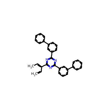 C=C/C(=C\C)c1nc(-c2cccc(-c3ccccc3)c2)nc(-c2cccc(-c3ccccc3)c2)n1